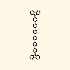 c1ccc2c(c1)c1ccccc1n2-c1ccc(-c2ccc(-c3ccc(-c4ccc(-c5ccc(-c6ccc(-n7c8ccccc8c8ccccc87)cc6)cc5)cc4)cc3)cc2)cc1